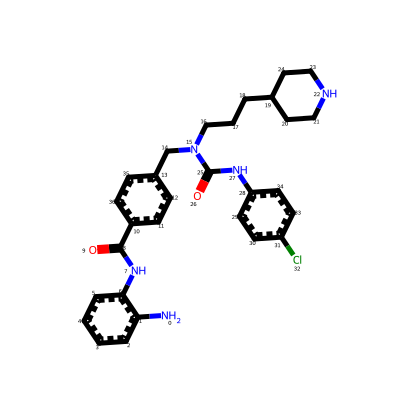 Nc1ccccc1NC(=O)c1ccc(CN(CCCC2CCNCC2)C(=O)Nc2ccc(Cl)cc2)cc1